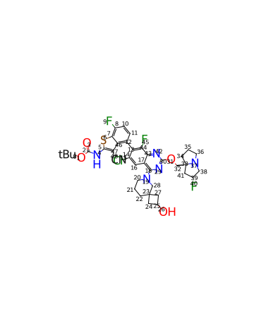 CC(C)(C)OC(=O)Nc1sc2c(F)ccc(-c3c(Cl)cc4c(N5CCCC6(CC(O)C6)C5)nc(OC[C@@]56CCCN5C[C@H](F)C6)nc4c3F)c2c1C#N